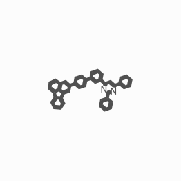 c1ccc(-c2cc(-c3cccc(-c4ccc(-c5cc6c7c(cccc7c5)-c5ccccc5-6)cc4)c3)nc(-c3ccccc3)n2)cc1